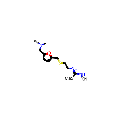 CCN(C)Cc1ccc(CSCC/N=C(/NC#N)SC)o1